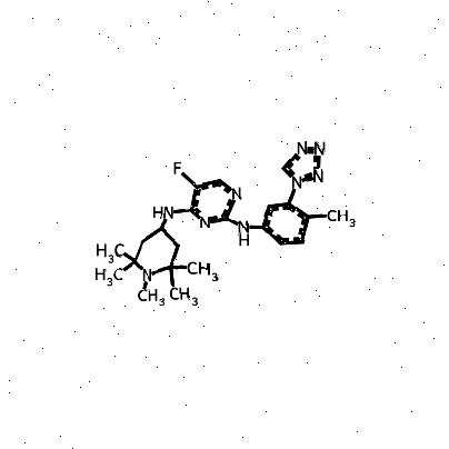 Cc1ccc(Nc2ncc(F)c(NC3CC(C)(C)N(C)C(C)(C)C3)n2)cc1-n1cnnn1